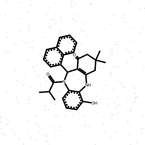 CC(C)C(=O)N1c2cccc(O)c2NC2=C(C(=O)CC(C)(C)C2)C1c1cccc2ccccc12